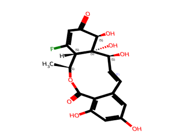 C[C@@H]1OC(=O)c2c(O)cc(O)cc2/C=C/[C@H](O)[C@]2(O)[C@H](O)C(=O)C=C(F)[C@@H]12